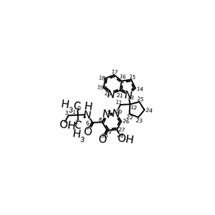 CC(C)(CO)NC(=O)c1nn(CC2(n3ccc4cccnc43)CCCC2)cc(O)c1=O